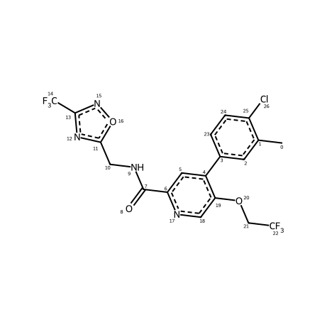 Cc1cc(-c2cc(C(=O)NCc3nc(C(F)(F)F)no3)ncc2OCC(F)(F)F)ccc1Cl